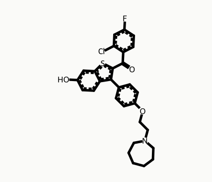 O=C(c1ccc(F)cc1Cl)c1sc2cc(O)ccc2c1-c1ccc(OCCN2CCCCCC2)cc1